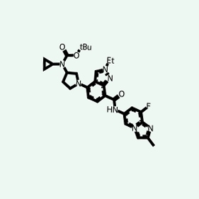 CCn1cc2c(N3CCC(N(C(=O)OC(C)(C)C)C4CC4)C3)ccc(C(=O)Nc3cc(F)c4nc(C)cn4c3)c2n1